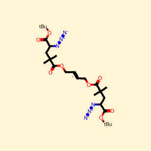 CC(C)(C)OC(=O)C(CC(C)(C)C(=O)OC/C=C/COC(=O)C(C)(C)CC(N=[N+]=[N-])C(=O)OC(C)(C)C)N=[N+]=[N-]